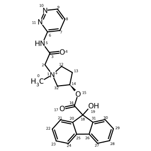 C[N+]1(CC(=O)Nc2cccnn2)CC[C@@H](OC(=O)C2(O)c3ccccc3-c3ccccc32)C1